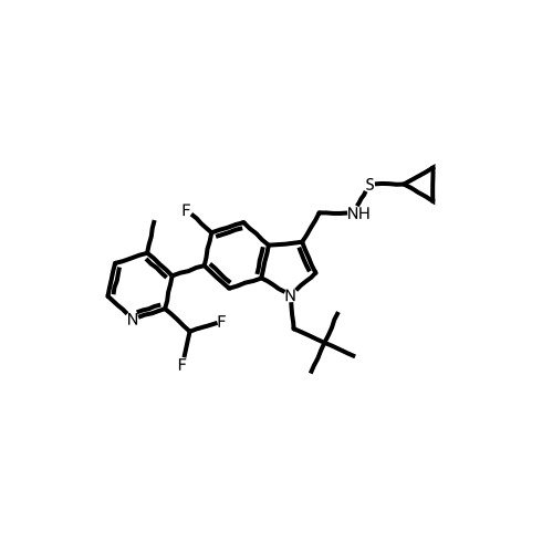 Cc1ccnc(C(F)F)c1-c1cc2c(cc1F)c(CNSC1CC1)cn2CC(C)(C)C